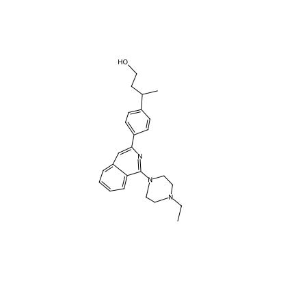 CCN1CCN(c2nc(-c3ccc(C(C)CCO)cc3)cc3ccccc23)CC1